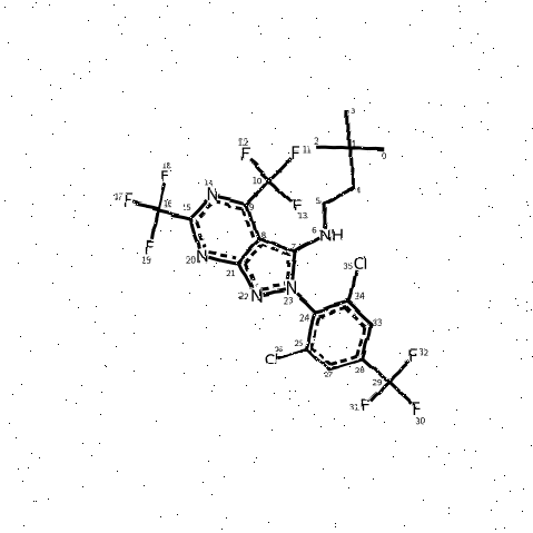 CC(C)(C)CCNc1c2c(C(F)(F)F)nc(C(F)(F)F)nc2nn1-c1c(Cl)cc(C(F)(F)F)cc1Cl